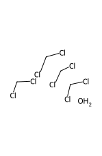 ClCCl.ClCCl.ClCCl.ClCCl.O